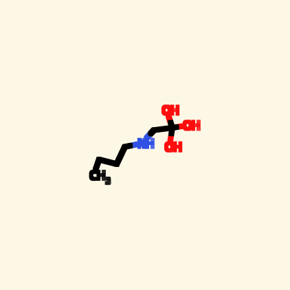 CCCCNCC(O)(O)O